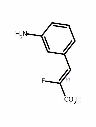 Nc1cccc(/C=C(\F)C(=O)O)c1